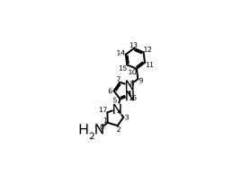 NC1CCN(c2ccn(Cc3ccccc3)n2)C1